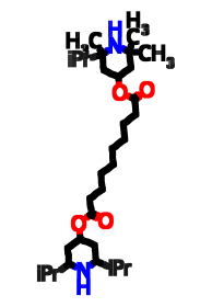 CC(C)C1CC(OC(=O)CCCCCCCCC(=O)OC2CC(C)(C)NC(C)(C(C)C)C2)CC(C(C)C)N1